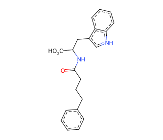 O=C(CCCc1ccccc1)NC(Cc1c[nH]c2ccccc12)C(=O)O